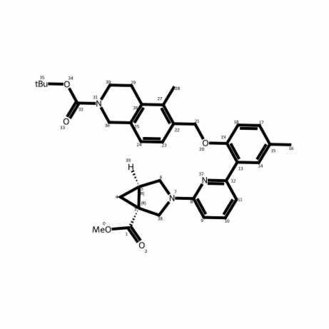 COC(=O)[C@]12C[C@H]1CN(c1cccc(-c3cc(C)ccc3OCc3ccc4c(c3C)CCN(C(=O)OC(C)(C)C)C4)n1)C2